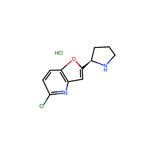 Cl.Clc1ccc2oc([C@H]3CCCN3)cc2n1